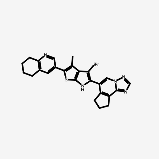 Cc1c(-c2cnc3c(c2)CCCC3)sc2[nH]c(-c3cn4ncnc4c4c3CCC4)c(C(C)C)c12